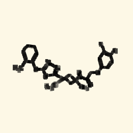 Cc1ccccc1Oc1nnc(C2(C)CC(C)(NC(=O)COc3ccc(Cl)c(F)c3)C2)o1